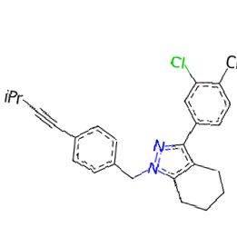 CC(C)C#Cc1ccc(Cn2nc(-c3ccc(C#N)c(Cl)c3)c3c2CCCC3)cc1